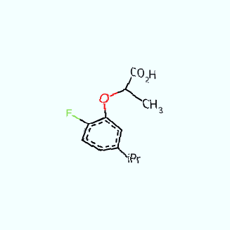 CC(Oc1cc(C(C)C)ccc1F)C(=O)O